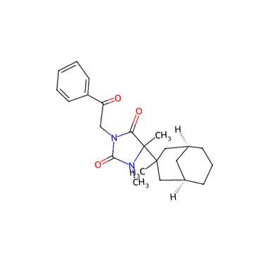 CN1C(=O)N(CC(=O)c2ccccc2)C(=O)C1(C)C1(C)C[C@@H]2CCC[C@@H](C2)C1